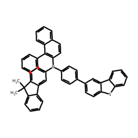 CC1(C)c2ccccc2-c2cc(N(c3ccc(-c4ccc5sc6ccccc6c5c4)cc3)c3ccc4ccccc4c3-c3ccccc3)ccc21